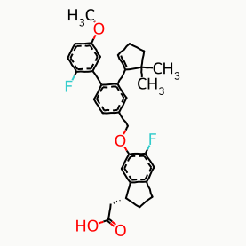 COc1ccc(F)c(-c2ccc(COc3cc4c(cc3F)CC[C@@H]4CC(=O)O)cc2C2=CCCC2(C)C)c1